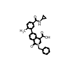 Cc1ccc(C(=O)NC2CC2)cc1-c1ccc2c(=O)n(Cc3ccccc3)cc(C(=O)O)c2c1